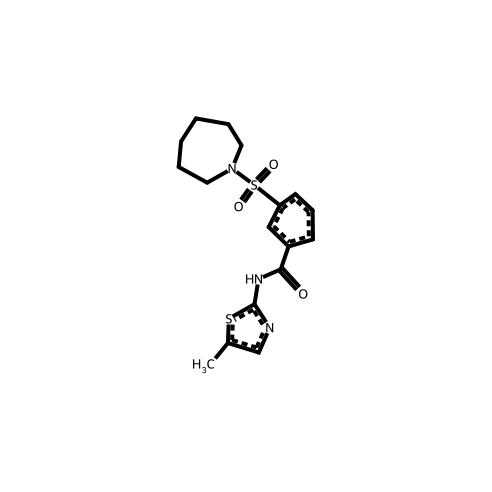 Cc1cnc(NC(=O)c2cccc(S(=O)(=O)N3CCCCCC3)c2)s1